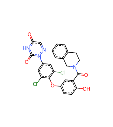 O=C(c1cc(Oc2c(Cl)cc(-n3ncc(=O)[nH]c3=O)cc2Cl)ccc1O)N1CCc2ccccc2C1